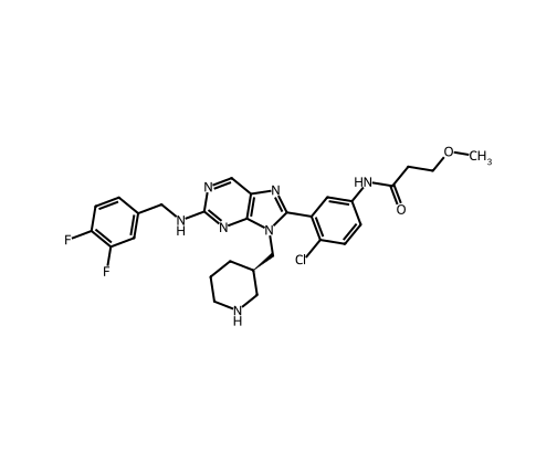 COCCC(=O)Nc1ccc(Cl)c(-c2nc3cnc(NCc4ccc(F)c(F)c4)nc3n2C[C@@H]2CCCNC2)c1